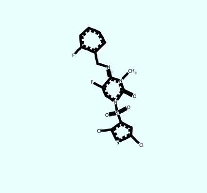 Cn1c(=O)n(S(=O)(=O)c2cc(Cl)sc2Cl)cc(F)/c1=N\Cc1ccccc1F